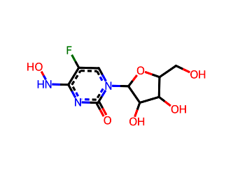 O=c1nc(NO)c(F)cn1C1OC(CO)C(O)C1O